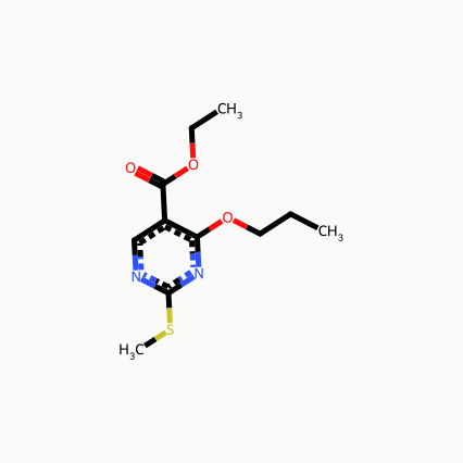 CCCOc1nc(SC)ncc1C(=O)OCC